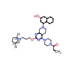 C=CC(=O)N1CCN(c2nc(OCCCN3C[C@@H]4CC[C@H]3C4)nc3c2CCN(c2cc(O)cc4ccccc24)C3)CC1